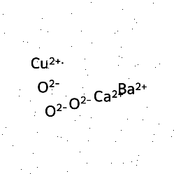 [Ba+2].[Ca+2].[Cu+2].[O-2].[O-2].[O-2]